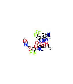 Cc1c(C#N)ncnc1-c1cc(C(F)(F)F)ccc1NC(=O)C1=C(O)[C@@]2(C)CCCN2N(Cc2ccc(OCCN3CCOCC3)c(F)c2F)C1=O